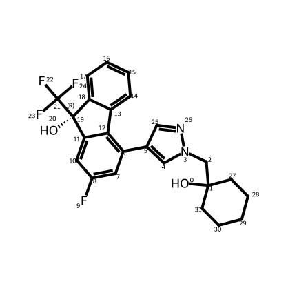 OC1(Cn2cc(-c3cc(F)cc4c3-c3ccccc3[C@]4(O)C(F)(F)F)cn2)CCCCC1